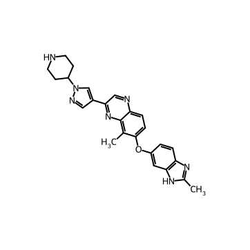 Cc1nc2ccc(Oc3ccc4ncc(-c5cnn(C6CCNCC6)c5)nc4c3C)cc2[nH]1